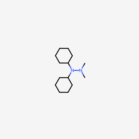 CN(C)N(C1CCCCC1)C1CCCCC1